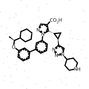 C[C@H](Oc1cccc(-c2cccc(-n3ncc(C(=O)O)c3[C@@H]3C[C@H]3c3cn(C4CCNCC4)nn3)c2)c1)C1CCCCC1